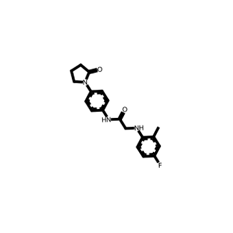 Cc1cc(F)ccc1NCC(=O)Nc1ccc(N2CCCC2=O)cc1